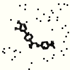 CNc1ccc(OCC(=O)N2CCN(c3ccc(F)c(F)c3)CC2)cc1